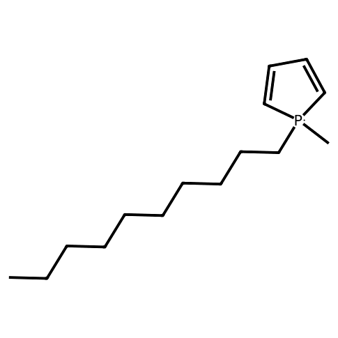 CCCCCCCCCC[P]1(C)C=CC=C1